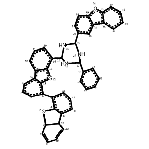 C1=CC2Sc3c(-c4cccc5c4sc4c(C6NC(c7ccccc7)NC(c7ccc8oc9ccccc9c8c7)N6)cccc45)cccc3C2C=C1